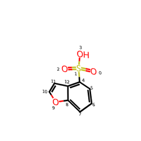 O=S(=O)(O)c1cccc2occc12